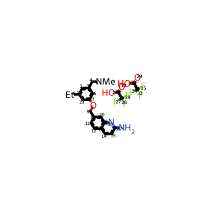 CCc1cc(CNC)cc(OCc2ccc3ccc(N)nc3c2)c1.O=C(O)C(F)(F)F.O=C(O)C(F)(F)F